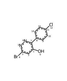 Oc1cc(Br)nnc1-c1ccc(Cl)cc1